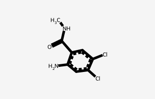 CNC(=O)c1cc(Cl)c(Cl)cc1N